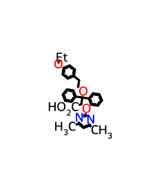 CCOc1ccc(CCOC(c2ccccc2)(c2ccccc2)C(Oc2nc(C)cc(C)n2)C(=O)O)cc1